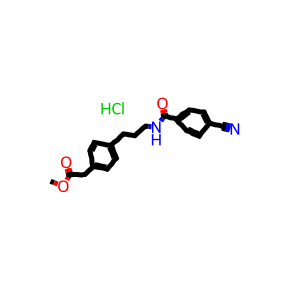 COC(=O)Cc1ccc(CCCNC(=O)c2ccc(C#N)cc2)cc1.Cl